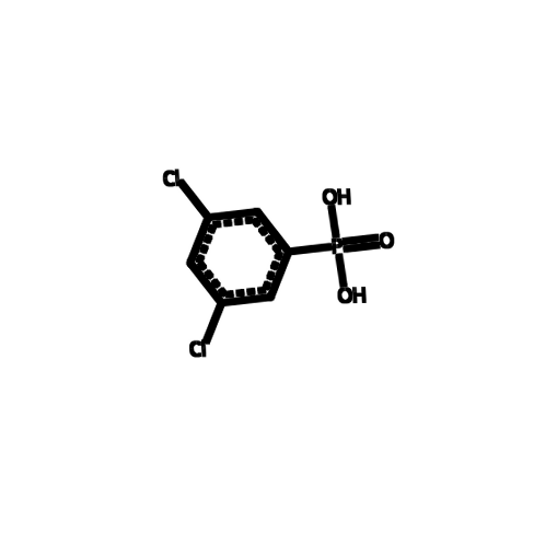 O=P(O)(O)c1cc(Cl)cc(Cl)c1